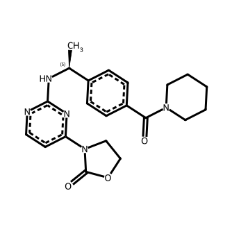 C[C@H](Nc1nccc(N2CCOC2=O)n1)c1ccc(C(=O)N2CCCCC2)cc1